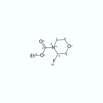 CCOC(=O)[N+]1CCOCC1F